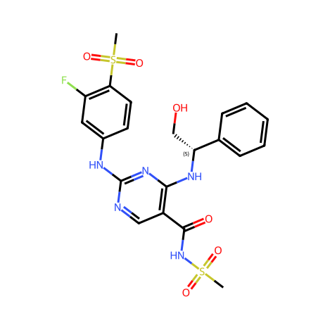 CS(=O)(=O)NC(=O)c1cnc(Nc2ccc(S(C)(=O)=O)c(F)c2)nc1N[C@H](CO)c1ccccc1